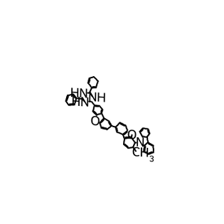 CC1C=Cc2c(oc3ccc(-c4ccc5oc6cc(C7NC(C8=CCCC=C8)NC(c8ccccc8)N7)ccc6c5c4)cc23)C1N1c2ccccc2C2C=CC=CC21